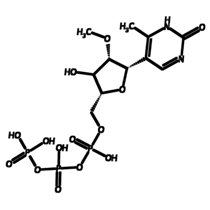 CO[C@H]1C(O)[C@@H](COP(=O)(O)OP(=O)(O)OP(=O)(O)O)O[C@H]1c1cnc(=O)[nH]c1C